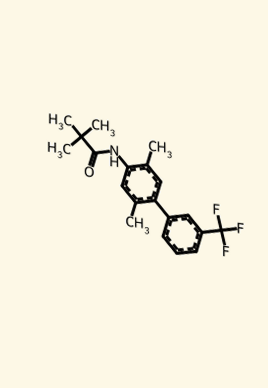 Cc1cc(-c2cccc(C(F)(F)F)c2)c(C)cc1NC(=O)C(C)(C)C